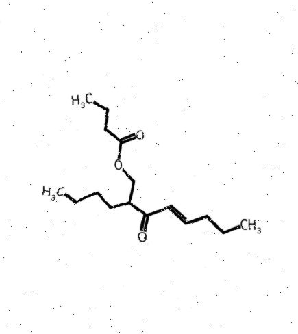 CCCC=CC(=O)C(CCCC)COC(=O)CCC